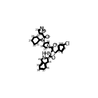 O=C(N[C@H](Cc1ccc(Cl)cc1)C(=O)N1CC[C@H](N(C(=O)c2ccno2)C2CCCCC2)C1)[C@H]1Cc2ccccc2CN1